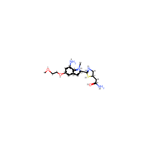 COCCOc1cc(N)c2c(c1)cc(C1=NCC(CC(N)=O)S1)n2C